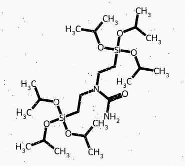 CC(C)O[Si](CCN(CC[Si](OC(C)C)(OC(C)C)OC(C)C)C(N)=O)(OC(C)C)OC(C)C